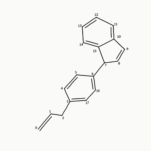 C=CCc1ccc(C2C=Cc3ccccc32)cc1